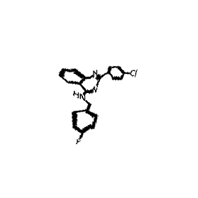 Fc1ccc(CNc2nc(-c3ccc(Cl)cc3)nc3ccccc23)cc1